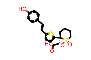 O=C(O)C[C@]1(c2ccc(C=Cc3ccc(O)cc3)s2)CCCCS1(=O)=O